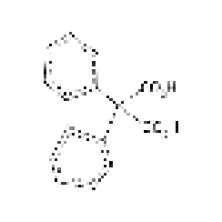 O=C(O)C1(C(=O)O)c2ccccc2-c2ccccc21